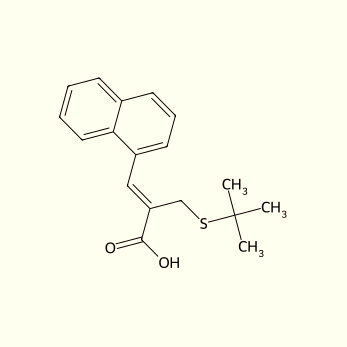 CC(C)(C)SC/C(=C\c1cccc2ccccc12)C(=O)O